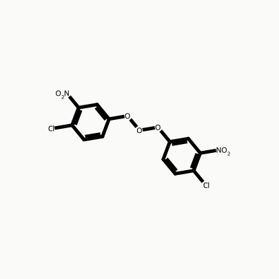 O=[N+]([O-])c1cc(OOOc2ccc(Cl)c([N+](=O)[O-])c2)ccc1Cl